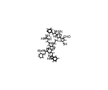 CN[C@H](CC1CCCCC1)C(=O)NC(Cc1c[nH]c2ccccc12)C(=O)NC(CCCNC(=N)N)C(=O)NCCC[C@H](NC(=O)[C@H](Cc1ccccc1)NC(C)=O)C(=O)N1C[C@@H](S)CC1C=O